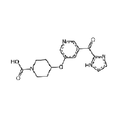 O=C(c1cncc(OC2CCN(C(=O)O)CC2)c1)c1ncc[nH]1